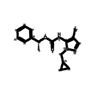 C[C@@H](OC(=O)Nc1c(Br)cnn1CC1CC1)c1ccccc1